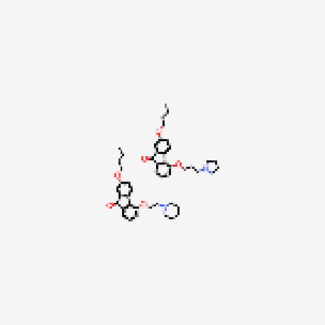 CCCCOc1ccc2c(c1)C(=O)c1cccc(OCCCN3CCCC3)c1-2.CCCCOc1ccc2c(c1)C(=O)c1cccc(OCCN3CCCCC3)c1-2